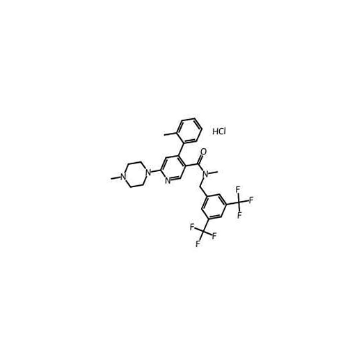 Cc1ccccc1-c1cc(N2CCN(C)CC2)ncc1C(=O)N(C)Cc1cc(C(F)(F)F)cc(C(F)(F)F)c1.Cl